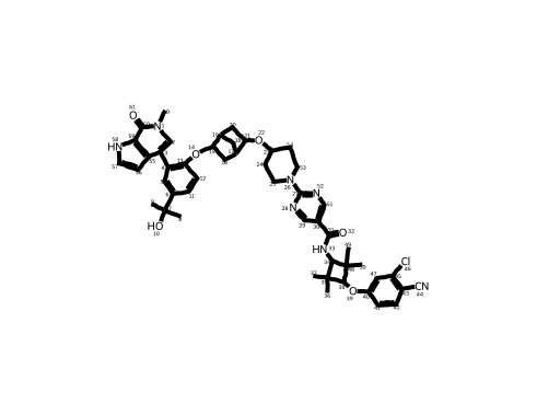 Cn1cc(-c2cc(C(C)(C)O)ccc2OC2CC3CC2CC3OC2CCN(c3ncc(C(=O)NC4C(C)(C)C(Oc5ccc(C#N)c(Cl)c5)C4(C)C)cn3)CC2)c2cc[nH]c2c1=O